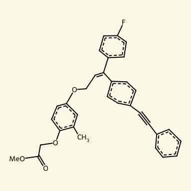 COC(=O)COc1ccc(OCC=C(c2ccc(F)cc2)c2ccc(C#Cc3ccccc3)cc2)cc1C